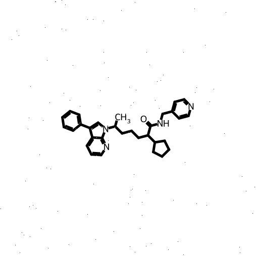 CC(CCCC(C(=O)NCc1ccncc1)C1CCCC1)n1cc(-c2ccccc2)c2cccnc21